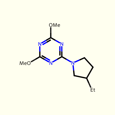 CCC1CCN(c2nc(OC)nc(OC)n2)C1